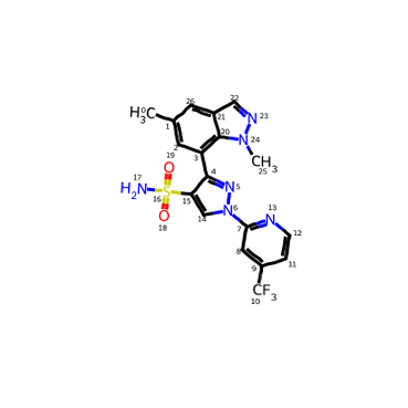 Cc1cc(-c2nn(-c3cc(C(F)(F)F)ccn3)cc2S(N)(=O)=O)c2c(cnn2C)c1